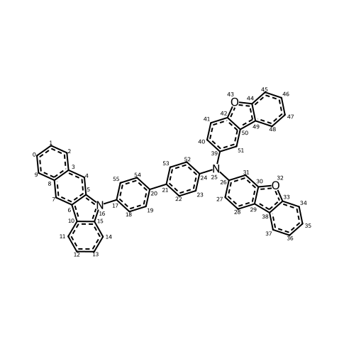 c1ccc2cc3c(cc2c1)c1ccccc1n3-c1ccc(-c2ccc(N(c3ccc4c(c3)oc3ccccc34)c3ccc4oc5ccccc5c4c3)cc2)cc1